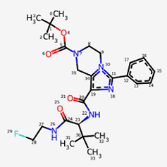 CC(C)(C)OC(=O)N1CCn2c(-c3ccccc3)nc(C(=O)N[C@H](C(=O)NCCF)C(C)(C)C)c2C1